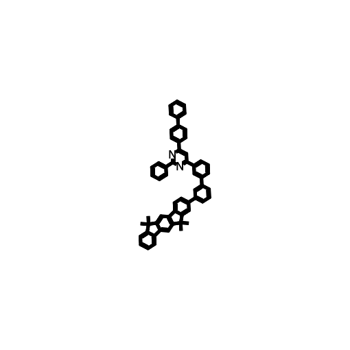 CC1(C)c2ccccc2-c2cc3c(cc21)-c1ccc(-c2cccc(-c4cccc(-c5cc(-c6ccc(-c7ccccc7)cc6)nc(-c6ccccc6)n5)c4)c2)cc1C3(C)C